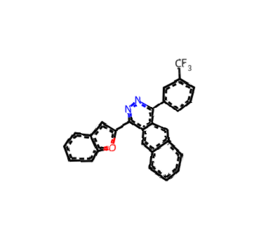 FC(F)(F)c1cccc(-c2nnc(-c3cc4ccccc4o3)c3cc4ccccc4cc23)c1